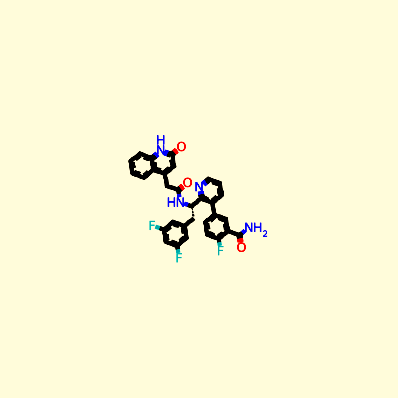 NC(=O)c1cc(-c2cccnc2[C@H](Cc2cc(F)cc(F)c2)NC(=O)Cc2cc(=O)[nH]c3ccccc23)ccc1F